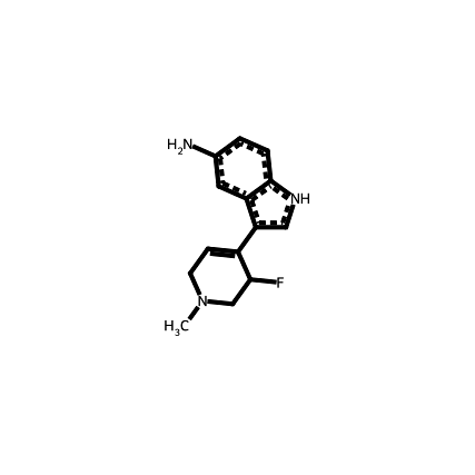 CN1CC=C(c2c[nH]c3ccc(N)cc23)C(F)C1